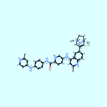 Cc1cc(Nc2ccc(NC(=O)c3ccc(Nc4cc(C)nc5ccc(C6=C[C@@H]7CC[C@H](C6)N7C)cc45)cn3)cc2)ccn1